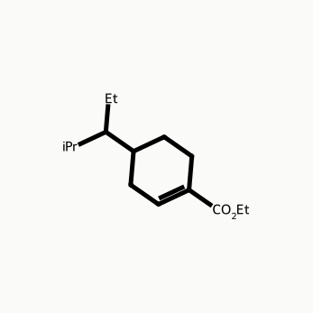 CCOC(=O)C1=CCC(C(CC)C(C)C)CC1